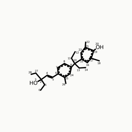 CCC(O)(/C=C/c1ccc(C(CC)(CC)c2cc(C)c(O)c(C)c2)cc1C)CC